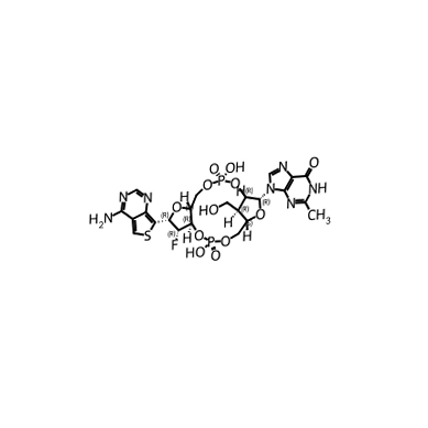 Cc1nc2c(ncn2[C@@H]2O[C@@H]3COP(=O)(O)O[C@H]4[C@H](F)[C@H](c5scc6c(N)ncnc56)O[C@@H]4COP(=O)(O)O[C@@H]2[C@@H]3CO)c(=O)[nH]1